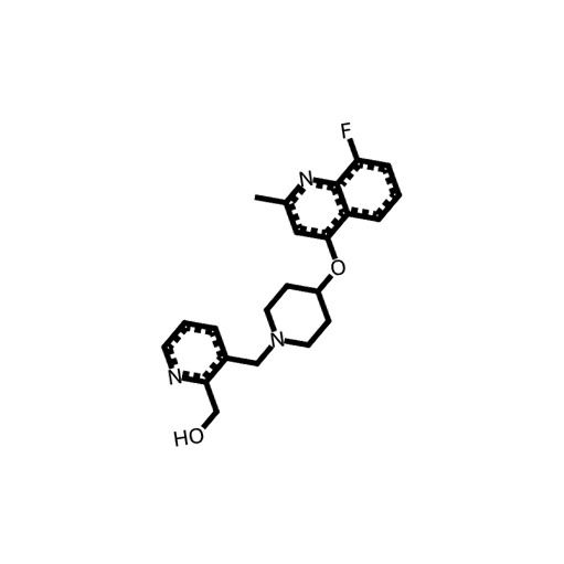 Cc1cc(OC2CCN(Cc3cccnc3CO)CC2)c2cccc(F)c2n1